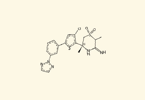 CC1C(=N)N[C@](C)(c2sc(-c3cccc(-n4nccn4)c3)cc2Cl)CS1(=O)=O